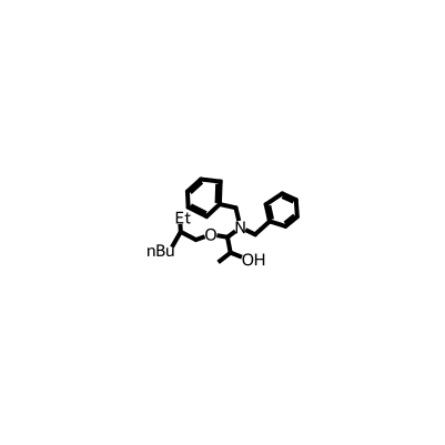 CCCCC(CC)COC(C(C)O)N(Cc1ccccc1)Cc1ccccc1